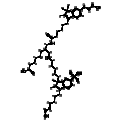 CC1=[N+](CCCCCC(=O)NCC(CCCCCC(=O)O)CNCCCCCC2(C)C(C)=[N+](CCCSOOO)c3ccc(S(=O)(=O)O)cc32)c2ccc(SOOO)cc2C1(C)C